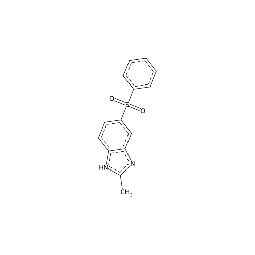 Cc1nc2cc(S(=O)(=O)c3ccccc3)ccc2[nH]1